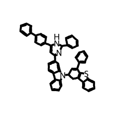 C1=C(c2ccc(-c3ccccc3)cc2)NC(c2ccccc2)N=C1c1ccc2c3ccccc3n(C3C=C(c4ccccc4)c4sc5ccccc5c4C3)c2c1